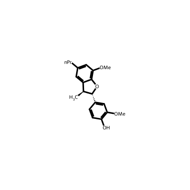 CCCc1cc(OC)c2c(c1)[C@H](C)[C@@H](c1ccc(O)c(OC)c1)O2